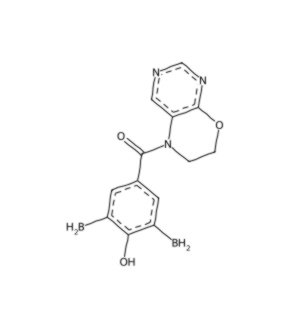 Bc1cc(C(=O)N2CCOc3ncncc32)cc(B)c1O